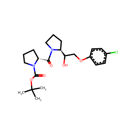 CC(C)(C)OC(=O)N1CCC[C@@H]1C(=O)N1CCC[C@H]1C(O)COc1ccc(Cl)cc1